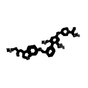 COC(=O)CC1COc2cc(OCc3cccc(-c4c(C)cc(OC5CCN(C(C)=O)CC5)cc4C)c3)ccc21